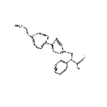 CCCCC(=O)N(Cc1ccc(-c2ccc(OCC(=O)O)cc2)cc1)c1ccccc1